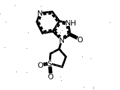 O=c1[nH]c2cnccc2n1C1CCS(=O)(=O)C1